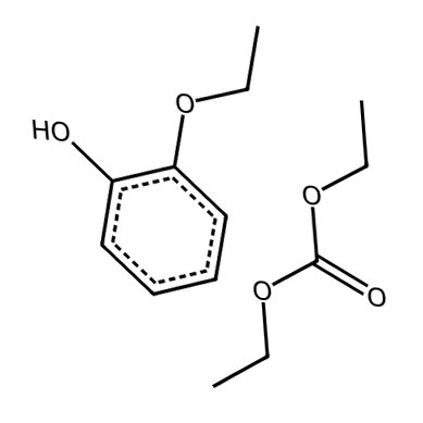 CCOC(=O)OCC.CCOc1ccccc1O